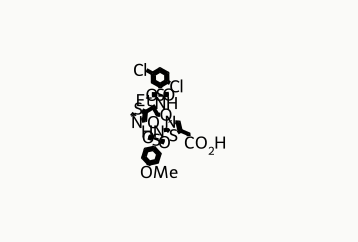 CCC(NS(=O)(=O)c1cc(Cl)ccc1Cl)(C(=O)ON1C=C(CC(=O)O)SC1NS(=O)(=O)c1ccc(OC)cc1)c1cncs1